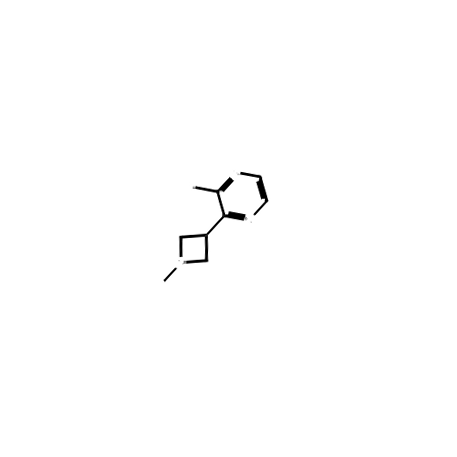 CN1CC(c2nccnc2Cl)C1